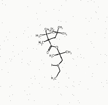 CCB(I)CC(C)(C)OC(=O)C(C)(CC(C)(C)C)C(C)(C)C